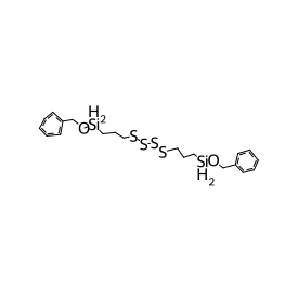 c1ccc(CO[SiH2]CCCSSSSCCC[SiH2]OCc2ccccc2)cc1